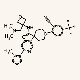 CN(C)CC1(NC(=O)C2(c3ccc(-c4cccn4C)nc3)CCN(c3ccc(C(F)(F)F)cc3C#N)CC2)COC1